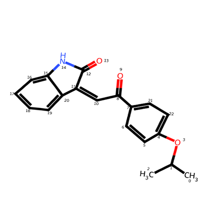 CC(C)Oc1ccc(C(=O)/C=C2\C(=O)Nc3ccccc32)cc1